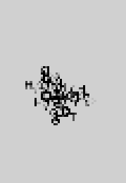 COc1cccc(OC)c1-n1c(-c2ccc(C)o2)nnc1N(CC[Si](C)(C)C)S(=O)(=O)[C@@H](C)[C@H]1OC(=O)c2cc(F)ccc21